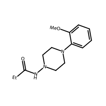 CCC(=O)NN1CCN(c2ccccc2OC)CC1